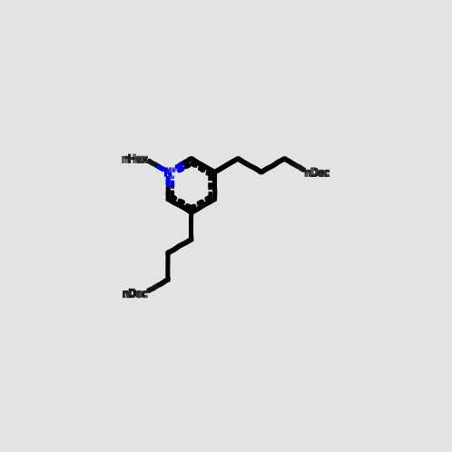 CCCCCCCCCCCCCc1cc(CCCCCCCCCCCCC)c[n+](CCCCCC)c1